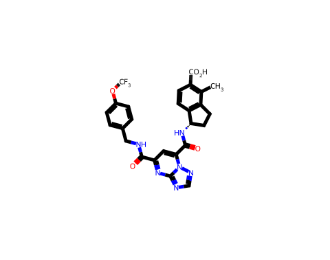 Cc1c(C(=O)O)ccc2c1CC[C@@H]2NC(=O)c1cc(C(=O)NCc2ccc(OC(F)(F)F)cc2)nc2ncnn12